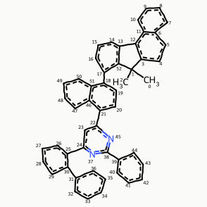 CC1(C)c2ccc3ccccc3c2-c2cccc(-c3ccc(-c4cc(-c5ccccc5-c5ccccc5)nc(-c5ccccc5)n4)c4ccccc34)c21